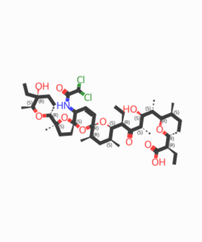 CC[C@@H](C(=O)[C@@H](C)[C@@H](O)[C@H](C)[C@@H]1O[C@@H]([C@@H](CC)C(=O)O)CC[C@@H]1C)[C@H]1O[C@]2(C=CC(NC(=O)C(Cl)Cl)[C@]3(CC[C@@](C)([C@H]4CC[C@](O)(CC)[C@H](C)O4)O3)O2)[C@H](C)C[C@@H]1C